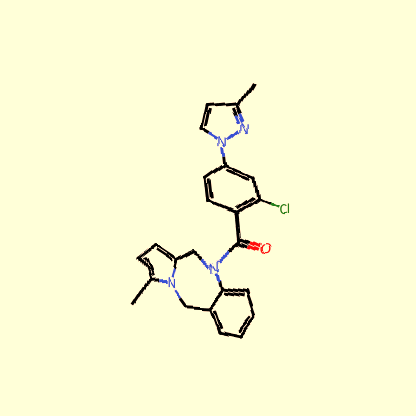 Cc1ccn(-c2ccc(C(=O)N3Cc4ccc(C)n4Cc4ccccc43)c(Cl)c2)n1